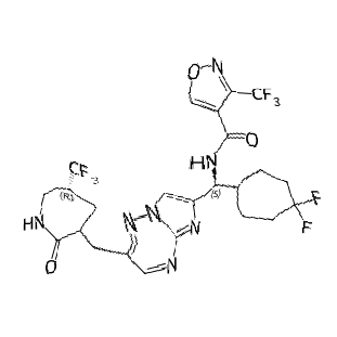 O=C(N[C@H](c1cn2nc(CC3C[C@@H](C(F)(F)F)CNC3=O)cnc2n1)C1CCC(F)(F)CC1)c1conc1C(F)(F)F